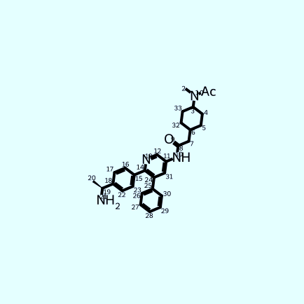 CC(=O)N(C)C1CCC(CC(=O)Nc2cnc(-c3ccc([C@H](C)N)cc3)c(-c3ccccc3)c2)CC1